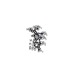 CC(=O)CCC1(CCC(C)=O)c2cc(S(=O)(=O)O)ccc2-c2cc3c(cc21)N(CCC[N+](C)(C)C)/C(=C/C=C1\CC(C)(C)CC(/C=C/C2=[N+](CCC[N+](C)(C)C)c4cc5c(cc4C2(C)C)-c2ccc(C)cc2C5(CCC(C)=O)CCC(C)=O)=C1OCCN(C)C(=O)CCC(=O)O)C3(C)C